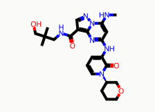 CNc1cc(Nc2cccn([C@@H]3CCCOC3)c2=O)nc2c(C(=O)NCC(C)(C)CO)cnn12